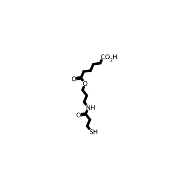 O=C(O)CCCCC(=O)OCCCNC(=O)CCS